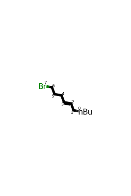 CCCCCC=CCCCBr